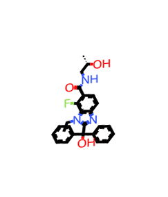 CCn1c(C(O)(c2ccccc2)c2ccccc2)nc2ccc(C(=O)NC[C@H](C)O)c(F)c21